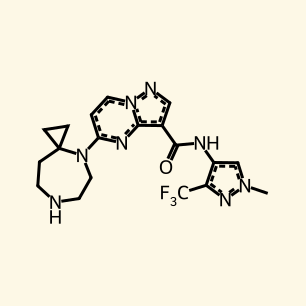 Cn1cc(NC(=O)c2cnn3ccc(N4CCNCCC45CC5)nc23)c(C(F)(F)F)n1